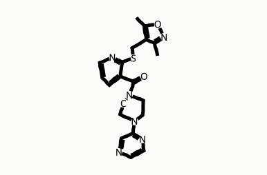 Cc1noc(C)c1CSc1ncccc1C(=O)N1CCN(c2cnccn2)CC1